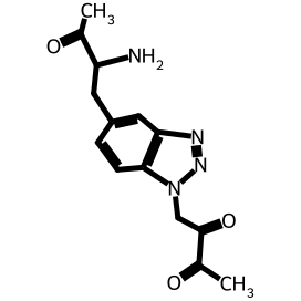 CC(=O)C(=O)Cn1nnc2cc(CC(N)C(C)=O)ccc21